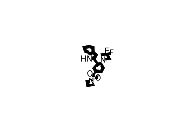 O=S(=O)(c1ccc(N2CC(F)(F)C2)c(-c2cc3ccccc3[nH]2)c1)N1CCC1